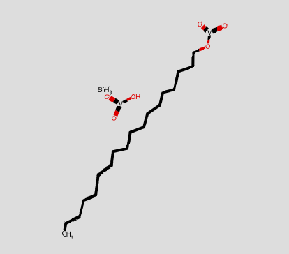 CCCCCCCCCCCCCCCCCC[O][V](=[O])=[O].[BiH3].[O]=[V](=[O])[OH]